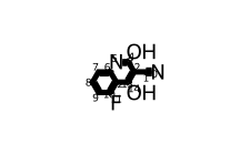 N#Cc1c(O)nc2cccc(F)c2c1O